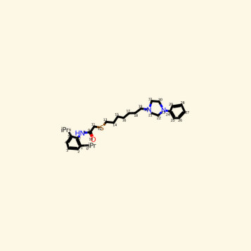 CC(C)c1cccc(C(C)C)c1NC(=O)CSCCCCCCCN1CCN(c2ccccc2)CC1